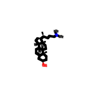 CCCN(CCC)CCC[C@@H](C)[C@H]1CC[C@H]2[C@@H]3CC=C4C[C@@H](O)CC[C@]4(C)[C@H]3CC[C@]12C